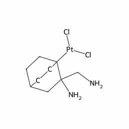 NCC1(N)CC2CC[C]1([Pt]([Cl])[Cl])CC2